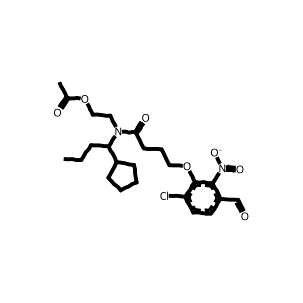 CCCC(C1CCCC1)N(CCOC(C)=O)C(=O)CCCOc1c(Cl)ccc(C=O)c1[N+](=O)[O-]